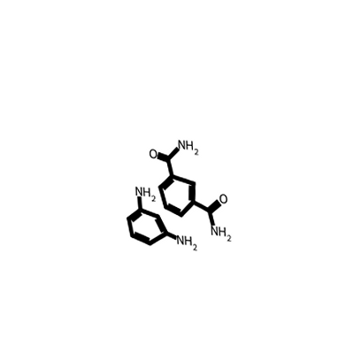 NC(=O)c1cccc(C(N)=O)c1.Nc1cccc(N)c1